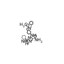 COc1ccccc1Cn1ccc2ccc(Nc3nc(N[C@@H]4CCCC[C@@H]4N)ncc3C(N)=O)cc21